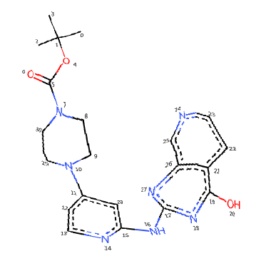 CC(C)(C)OC(=O)N1CCN(c2ccnc(Nc3nc(O)c4ccncc4n3)c2)CC1